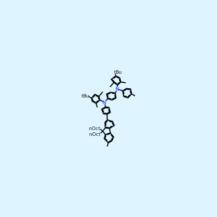 CCCCCCCCC1(CCCCCCCC)c2cc(C)ccc2-c2ccc(-c3ccc(N(c4ccc(N(c5ccc(C)cc5)c5c(C)cc(C(C)(C)C)cc5C)cc4)c4c(C)cc(C(C)(C)C)cc4C)cc3)cc21